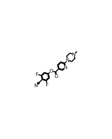 CN1CCN(c2ccc(C(=O)Oc3cc(F)c(C#N)c(F)c3)cn2)CC1